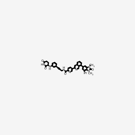 CC(C)c1cc(-c2cccc3cc(-c4ccc(C(=O)NCC#Cc5cccc(NC6CCC(=O)NC6=O)c5)nc4)ncc23)cc2c1n(C)c(=O)n2C